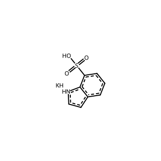 O=S(=O)(O)c1cccc2cc[nH]c12.[KH]